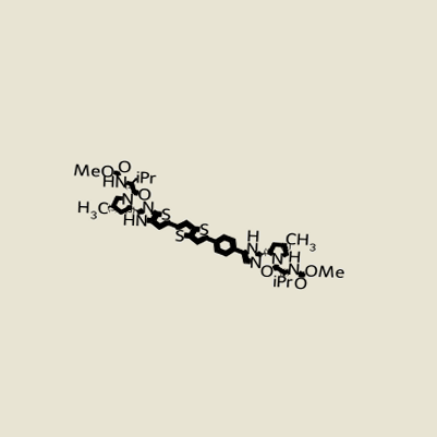 COC(=O)N[C@H](C(=O)N1C[C@@H](C)C[C@H]1c1ncc(-c2ccc(-c3cc4sc(-c5cc6[nH]c([C@@H]7C[C@H](C)CN7C(=O)[C@@H](NC(=O)OC)C(C)C)nc6s5)cc4s3)cc2)[nH]1)C(C)C